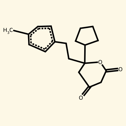 Cc1ccc(CCC2(C3CCCC3)CC(=O)CC(=O)O2)cc1